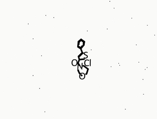 O=C(C1C=C(c2ccccc2)SC1Cl)N1CCCOCC1